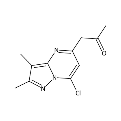 CC(=O)Cc1cc(Cl)n2nc(C)c(C)c2n1